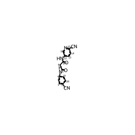 N#Cc1ccc(NC(=O)CC(=O)Nc2ccc(C#N)nc2)cc1